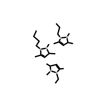 CCCCN1C(C)=CC(C)N1C.CCCN1C(C)=CC(C)N1C.CCN1C(C)=CC(C)N1C